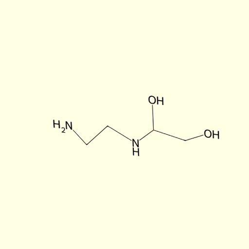 NCCNC(O)CO